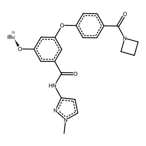 CC[C@H](C)Oc1cc(Oc2ccc(C(=O)N3CCC3)cc2)cc(C(=O)Nc2ccn(C)n2)c1